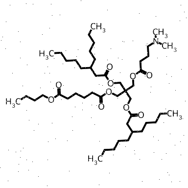 CCCCCC(CCCCC)CC(=O)OCC(COC(=O)CCCCC(=O)OCCCC)(COC(=O)CCCN(C)C)COC(=O)CC(CCCCC)CCCCC